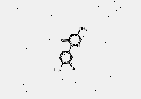 Cc1ccc(-n2ncc(N)cc2=S)cc1Br